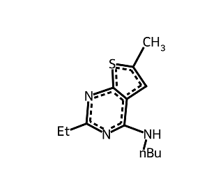 CCCCNc1nc(CC)nc2sc(C)cc12